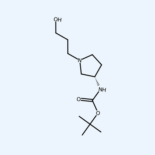 CC(C)(C)OC(=O)N[C@H]1CCN(CCCO)C1